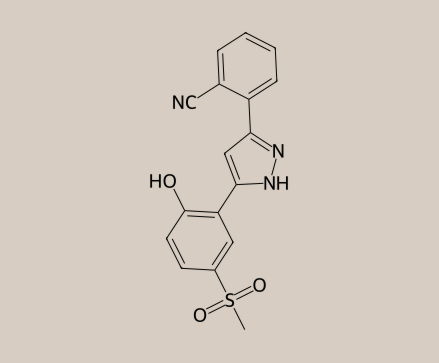 CS(=O)(=O)c1ccc(O)c(-c2cc(-c3ccccc3C#N)n[nH]2)c1